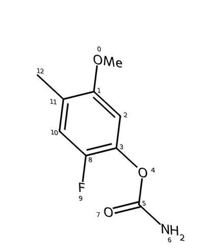 COc1cc(OC(N)=O)c(F)cc1C